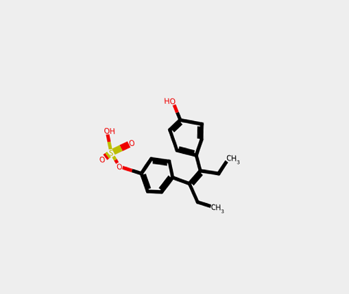 CCC(=C(CC)c1ccc(OS(=O)(=O)O)cc1)c1ccc(O)cc1